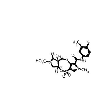 CCC1N(C(=O)O)C[C@H]2NS(=O)(=O)c3cn(C)c(C(=O)Nc4ccc(F)c(C)c4)c3OC[C@@]12C